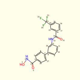 O=C(NO)c1ccc(-c2cccc(NC(=O)c3cccc(C(F)(F)F)c3)c2)cc1